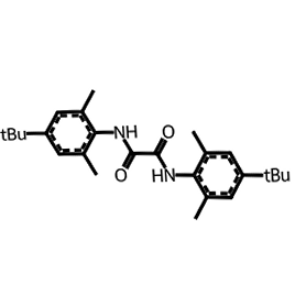 Cc1cc(C(C)(C)C)cc(C)c1NC(=O)C(=O)Nc1c(C)cc(C(C)(C)C)cc1C